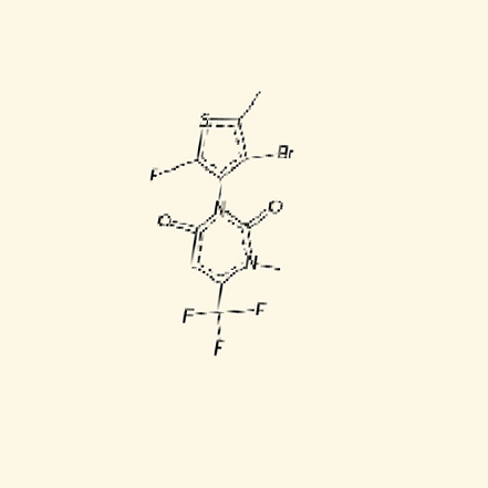 Cc1sc(F)c(-n2c(=O)cc(C(F)(F)F)n(C)c2=O)c1Br